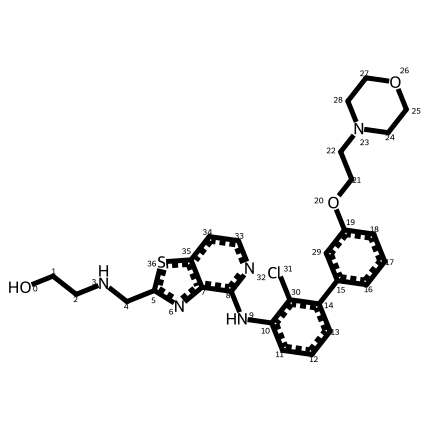 OCCNCc1nc2c(Nc3cccc(-c4cccc(OCCN5CCOCC5)c4)c3Cl)nccc2s1